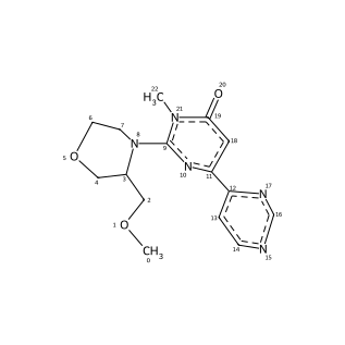 COCC1COCCN1c1nc(-c2ccncn2)cc(=O)n1C